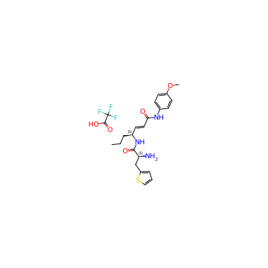 CCC[C@@H](C=CC(=O)Nc1ccc(OC)cc1)NC(=O)[C@@H](N)Cc1cccs1.O=C(O)C(F)(F)F